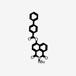 CCCCN1C(=O)c2cccc3c(OC(=O)c4ccc(-c5ccccc5)cc4)ccc(c23)C1=O